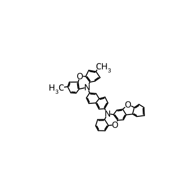 Cc1ccc2c(c1)Oc1cc(C)ccc1N2c1ccc2cc(N3c4ccccc4Oc4cc5c(cc43)oc3ccccc35)ccc2c1